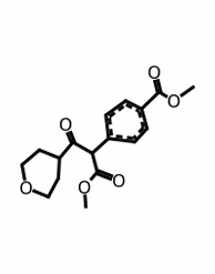 COC(=O)c1ccc(C(C(=O)OC)C(=O)C2CCOCC2)cc1